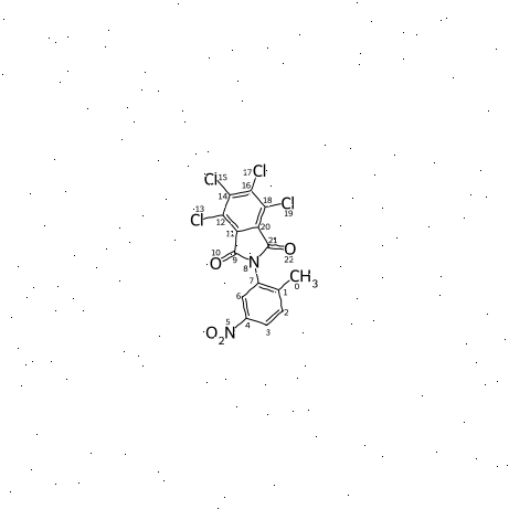 Cc1ccc([N+](=O)[O-])cc1N1C(=O)c2c(Cl)c(Cl)c(Cl)c(Cl)c2C1=O